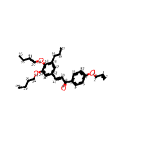 C=CCOc1ccc(C(=O)C=Cc2cc(CCC)c(OCCCC)c(OCCCC)c2)cc1